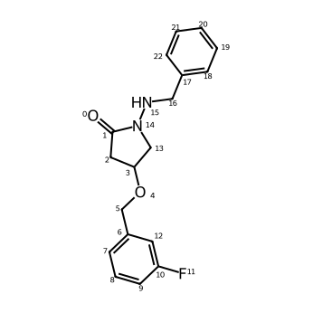 O=C1CC(OCc2cccc(F)c2)CN1NCc1ccccc1